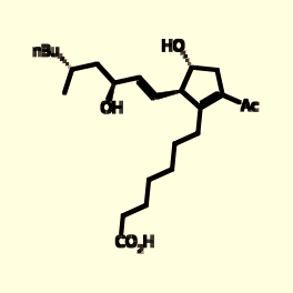 CCCC[C@@H](C)C[C@H](O)/C=C/[C@@H]1C(CCCCCCC(=O)O)=C(C(C)=O)C[C@H]1O